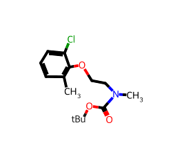 Cc1cccc(Cl)c1OCCN(C)C(=O)OC(C)(C)C